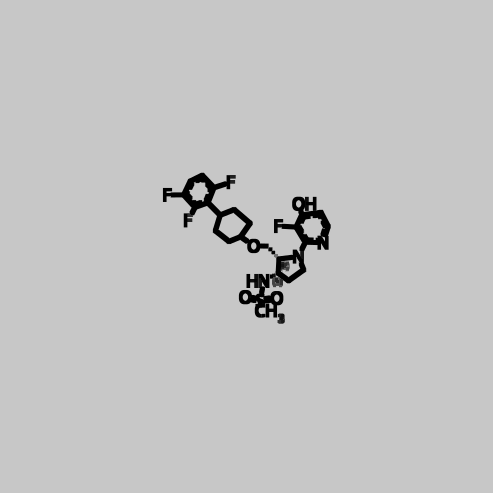 CS(=O)(=O)N[C@H]1CCN(c2nccc(O)c2F)[C@H]1COC1CCC(c2c(F)ccc(F)c2F)CC1